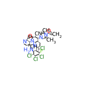 C=CC(=O)N1[C@H](C)CN(c2c(C#N)c(=O)n(C3C(C(C)C)=NC=C[C@H]3C)c3nc(-c4c(N)c(Cl)c(Cl)c(Cl)c4F)c(Cl)cc23)C[C@@H]1C